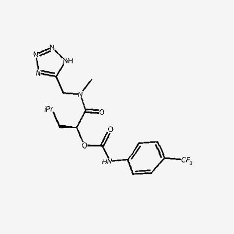 CC(C)C[C@H](OC(=O)Nc1ccc(C(F)(F)F)cc1)C(=O)N(C)Cc1nnn[nH]1